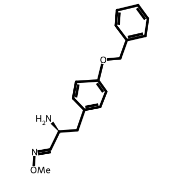 CO/N=C/[C@@H](N)Cc1ccc(OCc2ccccc2)cc1